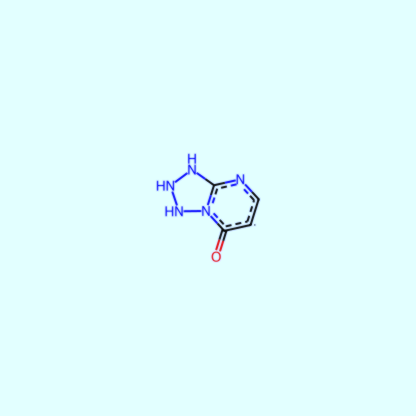 O=c1[c]cnc2n1NNN2